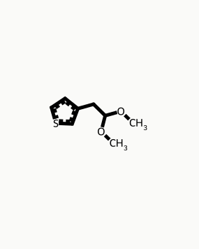 COC(Cc1ccsc1)OC